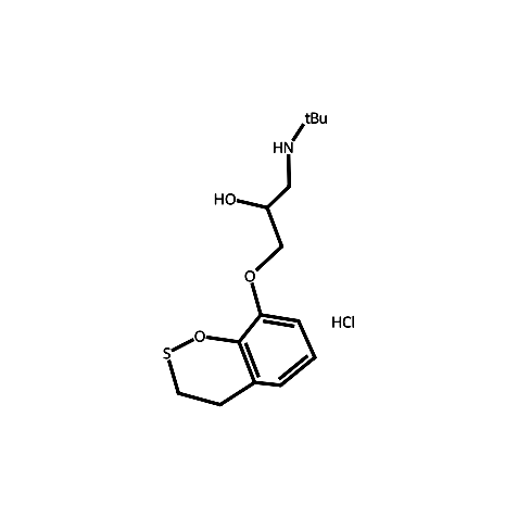 CC(C)(C)NCC(O)COc1cccc2c1OSCC2.Cl